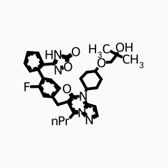 CCCc1c(Cc2ccc(-c3ccccc3-c3noc(=O)[nH]3)c(F)c2)c(=O)n(C2CCC(OCC(C)(C)O)CC2)c2ccnn12